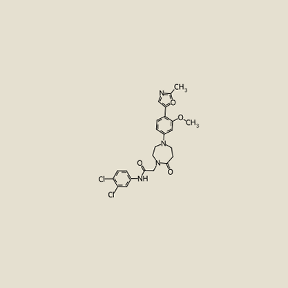 COc1cc(N2CCC(=O)N(CC(=O)Nc3ccc(Cl)c(Cl)c3)CC2)ccc1-c1cnc(C)o1